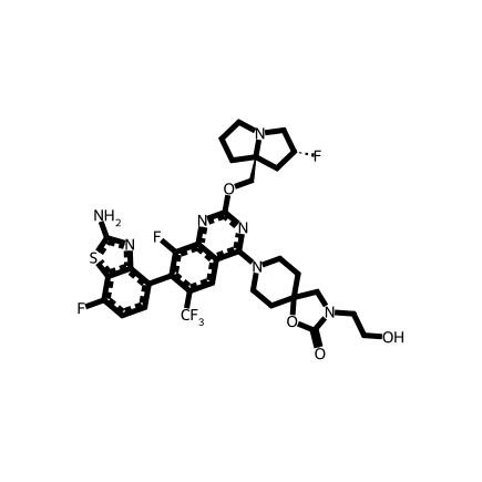 Nc1nc2c(-c3c(C(F)(F)F)cc4c(N5CCC6(CC5)CN(CCO)C(=O)O6)nc(OC[C@@]56CCCN5C[C@H](F)C6)nc4c3F)ccc(F)c2s1